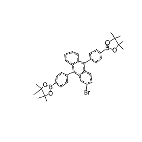 CC1(C)OB(c2ccc(-c3c4ccccc4c(-c4ccc(B5OC(C)(C)C(C)(C)O5)cc4)c4cc(Br)ccc34)cc2)OC1(C)C